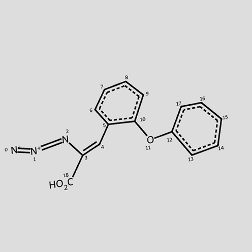 [N-]=[N+]=NC(=Cc1ccccc1Oc1ccccc1)C(=O)O